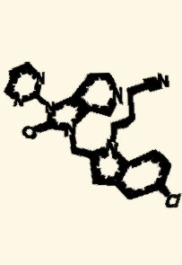 N#CCCCn1c(Cn2c(=O)n(-c3ncccn3)c3ccncc32)cc2cc(Cl)ccc21